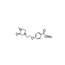 COC(=O)c1ccc(OCCN2CCN(C)C(=O)[C@H]2C)cc1